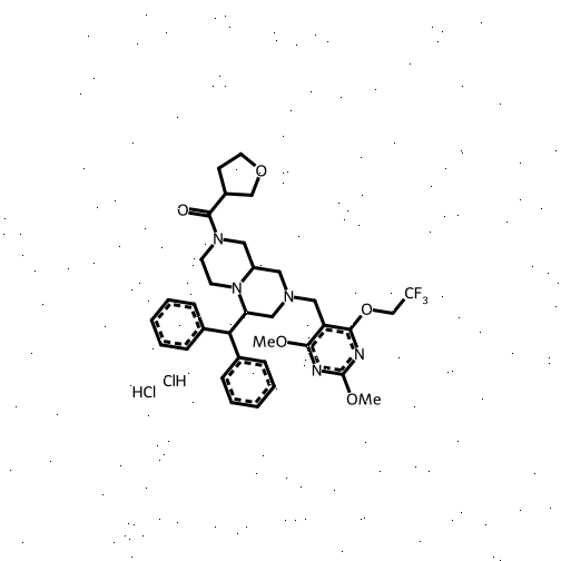 COc1nc(OC)c(CN2CC3CN(C(=O)C4CCOC4)CCN3C(C(c3ccccc3)c3ccccc3)C2)c(OCC(F)(F)F)n1.Cl.Cl